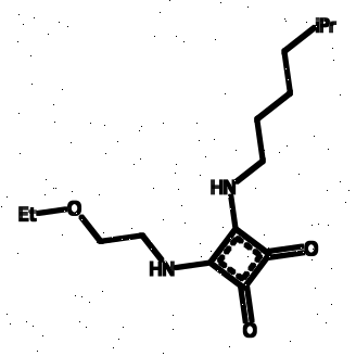 CCOCCNc1c(NCCCCC(C)C)c(=O)c1=O